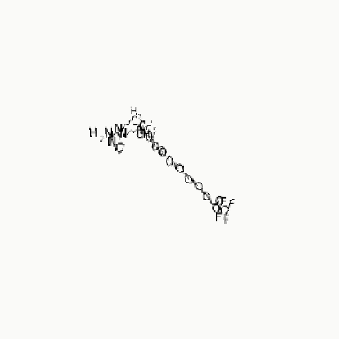 CCCCc1nc2c(N)nc3ccccc3c2n1CCCC[N+](C)(C)CCOCCOCCOCCOCCOCCOCCOCCOCCC(=O)Oc1c(F)c(F)cc(F)c1F